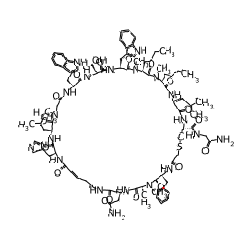 CCCC[C@H]1C(=O)N(C)[C@@H](CCCC)C(=O)N[C@@H](CC(C)C)C(=O)N[C@H](C(=O)NCC(N)=O)CSCC(=O)N[C@@H](Cc2ccccc2)C(=O)N(C)[C@@H](C)C(=O)N[C@@H](CC(N)=O)C(=O)NCC/C=C/C(=O)N[C@@H](Cc2cnc[nH]2)C(=O)N[C@@H](CC(C)C)C(=O)N(C)CC(=O)N[C@@H](Cc2c[nH]c3ccccc23)C(=O)N[C@@H](CO)C(=O)N[C@@H](Cc2c[nH]c3ccccc23)C(=O)N1C